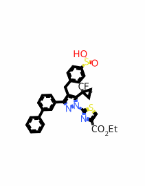 CCOC(=O)c1csc(-n2nc(-c3cccc(-c4ccccc4)c3)c(Cc3ccc(S(=O)O)cc3)c2C2(C(F)(F)F)CC2)n1